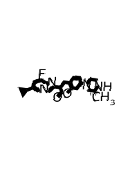 C[C@H]1CN(c2ccc3cc(-c4cn5cc(C6CC6)cc(F)c5n4)c(=O)oc3c2)CCN1